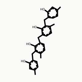 Cc1ccc(Cc2c(C)ccc(Cc3ccc(C)c(Cc4ccc(C)cc4O)c3O)c2O)c(O)c1